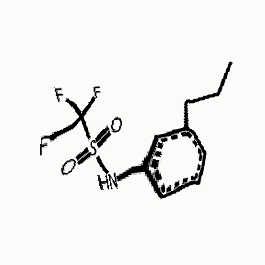 CCCc1cccc(NS(=O)(=O)C(F)(F)F)c1